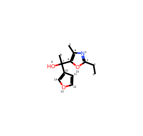 CCc1nc(C)c(C(C)(O)c2ccoc2)o1